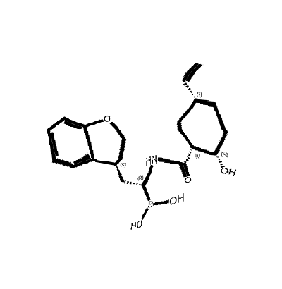 C=C[C@@H]1CC[C@H](O)[C@H](C(=O)N[C@@H](C[C@@H]2COc3ccccc32)B(O)O)C1